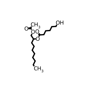 CCCCCCCCC(COC(C)=O)OC(=O)CCCCCO